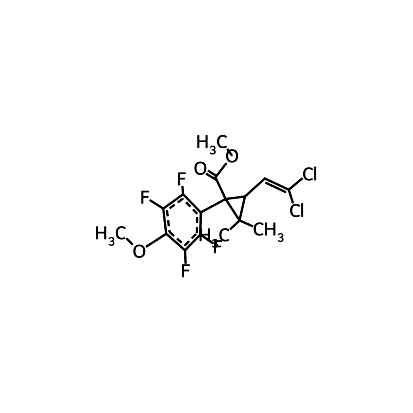 COC(=O)C1(c2c(F)c(F)c(OC)c(F)c2F)C(C=C(Cl)Cl)C1(C)C